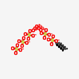 O=S(=O)([O-])[O-].O=S(=O)([O-])[O-].O=S(=O)([O-])[O-].O=S(=O)([O-])[O-].O=S(=O)([O-])[O-].[O-2].[O-2].[O-2].[O-2].[O-2].[V+5].[V+5].[V+5].[V+5]